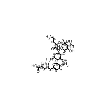 CN[C@@H]1[C@@H](O)[C@@H](O[C@H]2[C@H](NC(=O)[C@@H](O)CCN)C[C@H](N)C([C@H]3OC(CNC[C@H](O)C(=O)O)=CC[C@H]3N)[C@@H]2O)OC[C@]1(C)O